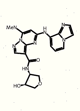 CNc1cc(Nc2cccn3ccnc23)nc2c(C(=O)N[C@H]3COC[C@H]3O)cnn12